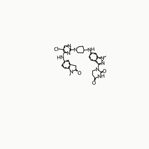 CN1C(=O)Cc2cc(Nc3nc(N4CCC(Nc5ccc6c(N7CCC(=O)NC7=O)nn(C)c6c5)CC4)ncc3Cl)ccc21